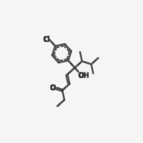 CCC(=O)C=CC(O)(c1ccc(Cl)cc1)C(C)C(C)C